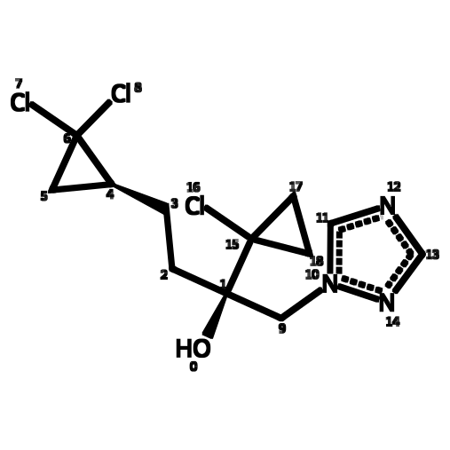 O[C@](CC[C@H]1CC1(Cl)Cl)(Cn1cncn1)C1(Cl)CC1